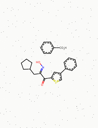 O=C(C(CC1CCCC1)=NO)c1cc(-c2ccccc2)cs1.O=C(O)c1ccccc1